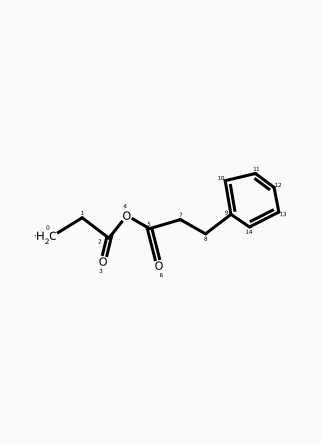 [CH2]CC(=O)OC(=O)CCc1ccccc1